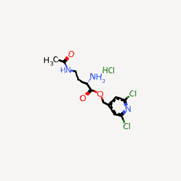 CC(=O)NCC[C@H](N)C(=O)OCc1cc(Cl)nc(Cl)c1.Cl